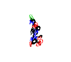 COC(=O)c1cc(OC)c2nc(CN3CCN(c4cccc5c4OC(C)(c4ccc(Cl)cn4)O5)[C@@H]4CC[C@H]43)n(C[C@@H]3CCCO3)c2c1